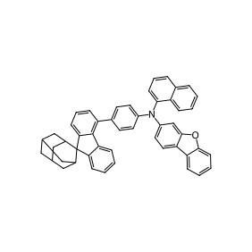 c1ccc2c(c1)-c1c(-c3ccc(N(c4ccc5c(c4)oc4ccccc45)c4cccc5ccccc45)cc3)cccc1C21C2CC3CC(C2)CC1C3